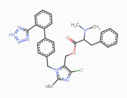 CCCCc1nc(Cl)c(COC(=O)C(Cc2ccccc2)N(C)C)n1Cc1ccc(-c2ccccc2-c2nn[nH]n2)cc1